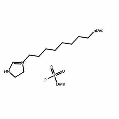 CCCCCCCCCCCCCCCCCC[N+]1=CNCC1.COS(=O)(=O)[O-]